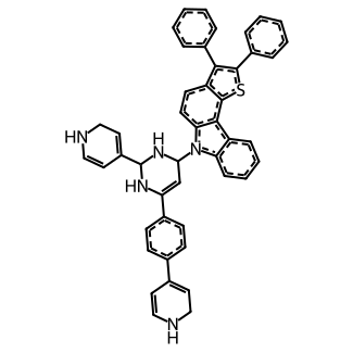 C1=CC(c2ccc(C3=CC(n4c5ccccc5c5c6sc(-c7ccccc7)c(-c7ccccc7)c6ccc54)NC(C4=CCNC=C4)N3)cc2)=CCN1